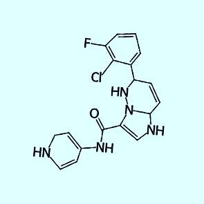 O=C(NC1=CCNC=C1)C1=CNC2C=CC(c3cccc(F)c3Cl)NN12